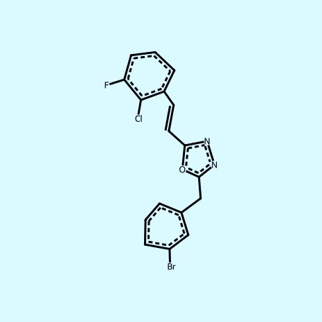 Fc1cccc(/C=C/c2nnc(Cc3cccc(Br)c3)o2)c1Cl